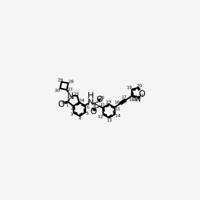 O=C1c2cccc(NS(=O)(=O)c3cccc(C#Cc4ccon4)c3)c2CN1C1CCC1